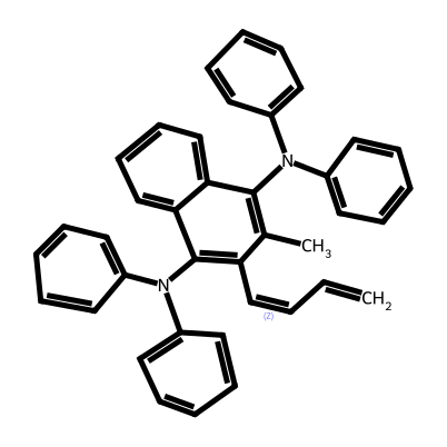 C=C/C=C\c1c(C)c(N(c2ccccc2)c2ccccc2)c2ccccc2c1N(c1ccccc1)c1ccccc1